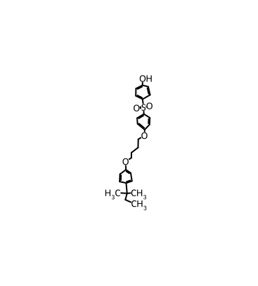 CCC(C)(C)c1ccc(OCCCCOc2ccc(S(=O)(=O)c3ccc(O)cc3)cc2)cc1